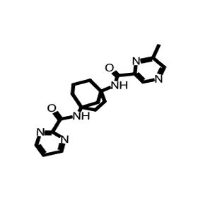 Cc1cncc(C(=O)NC23CCCC(NC(=O)c4ncccn4)(CC2)C3)n1